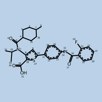 CC1CCC(C(=O)N(c2cc(-c3ccc(NC(=O)c4ccccc4F)cc3)sc2C(=O)O)C(C)C)CC1